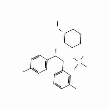 CC(C)(C)S[C@H]1CCCC[C@@H]1N[C@H](c1ccc(Cl)cc1)[C@H](O[Si](C)(C)C(C)(C)C)c1cccc(Cl)c1